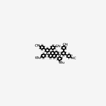 [C-]#[N+]c1ccc(-c2cc(-c3ccc(C#N)cc3)cc(N(c3ccc(C(C)(C)C)cc3)c3ccc4ccc5c(N(c6ccc(C(C)(C)C)cc6)c6cc(-c7ccc(C#N)cc7)cc(-c7ccc([N+]#[C-])cc7)c6)ccc6ccc3c4c65)c2)cc1